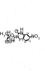 C[SiH](C)OC(CC(C)(C)C)N1Cc2ccc([N+](=O)[O-])cc2NC1=O